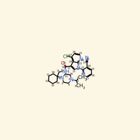 CC(C)N1CCN(C2(CNC(=O)c3cn(-c4ncccc4C#N)c4nccc(Cl)c34)CCCCC2)CC1